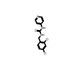 O=C(NCc1ccc(Cl)cc1Cl)Nc1ccncc1